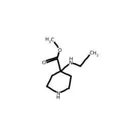 CCNC1(C(=O)OC)CCNCC1